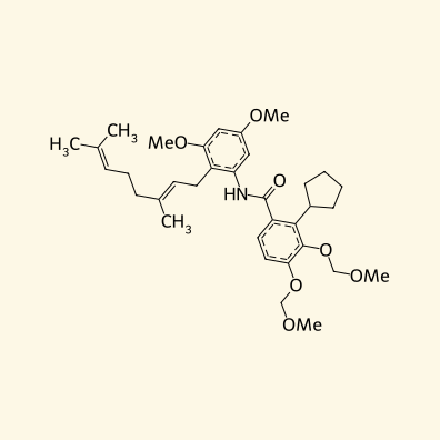 COCOc1ccc(C(=O)Nc2cc(OC)cc(OC)c2C/C=C(\C)CCC=C(C)C)c(C2CCCC2)c1OCOC